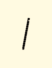 C=C=C=C=C=C=C=C=C=C=C=C=C=C=S